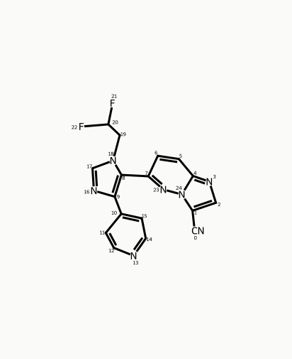 N#Cc1cnc2ccc(-c3c(-c4ccncc4)ncn3CC(F)F)nn12